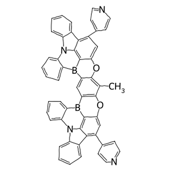 Cc1c2c(cc3c1Oc1cc(-c4ccncc4)c4c5ccccc5n5c4c1B3c1ccccc1-5)B1c3ccccc3-n3c4ccccc4c4c(-c5ccncc5)cc(c1c43)O2